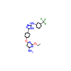 CCOc1nc(N)cc(Oc2ccc(-c3nnc(Nc4cccc(C(F)(F)F)c4)[nH]3)cc2)n1